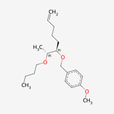 C=CCCC[C@@H](OCc1ccc(OC)cc1)[C@@H](C)OCCCC